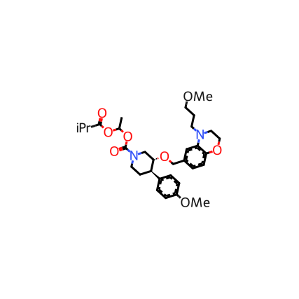 COCCCN1CCOc2ccc(CO[C@H]3CN(C(=O)OC(C)OC(=O)C(C)C)CC[C@@H]3c3ccc(OC)cc3)cc21